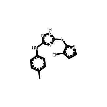 Cc1ccc(Nc2n[nH]c(Sc3sccc3Cl)n2)cc1